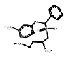 O=C(O)CCC(CP(=O)(O)C(Nc1cccc(C(=O)O)c1)c1ccccc1)C(=O)O